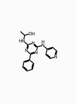 CC(O)Nc1nc(Nc2ccncc2)nc(-c2ccccc2)n1